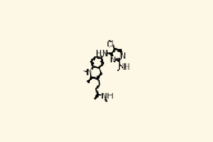 C=C(CCC1=Cc2cc(Nc3nc(NC)ncc3Cl)ccc2N(C)C1=C)NC